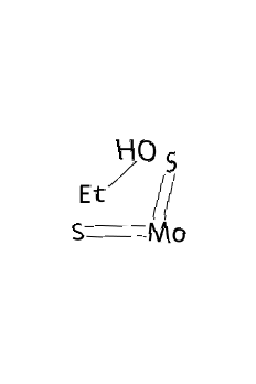 CCO.[S]=[Mo]=[S]